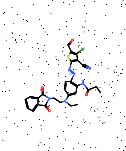 CCC(=O)Nc1cc(N(CC)CCN2C(=O)c3ccccc3C2=O)ccc1/N=N/c1sc(C=O)c(Cl)c1C#N